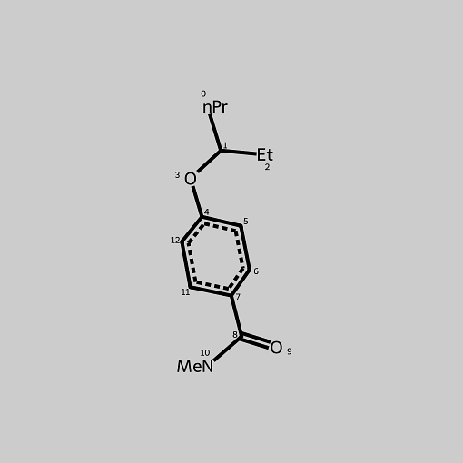 CCCC(CC)Oc1ccc(C(=O)NC)cc1